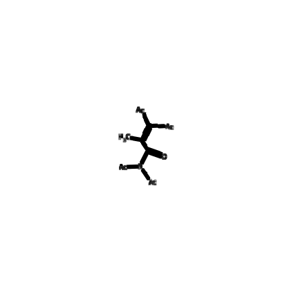 CC(=O)C(C(C)=O)=C(C)C(=O)N(C(C)=O)C(C)=O